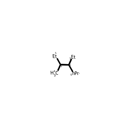 CC[CH]C(CC)C(C)CC